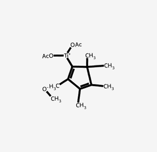 CC(=O)[O][Ti+]([O]C(C)=O)[C]1=C(C)C(C)=C(C)C1(C)C.C[O-]